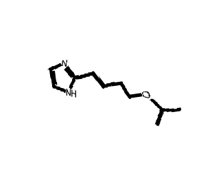 CC(C)OCCCCc1n[c]c[nH]1